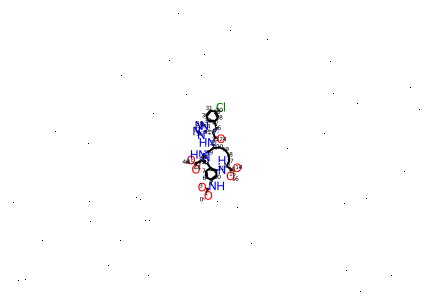 COC(=O)Nc1ccc2c(c1)NC(C(=O)OC)CCCCC(NC(=O)/C=C/c1cc(Cl)ccc1-n1cnnn1)c1nc-2c(C(=O)OC)[nH]1